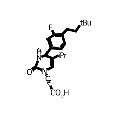 CC(C)C1=CN(CCC(=O)O)C(=O)N[C@@]1(C)c1ccc(CCC(C)(C)C)c(F)c1